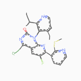 CSc1ncccc1-c1nc2c(cc1F)c(Cl)nc(=O)n2-c1c(C)ccnc1C(C)C